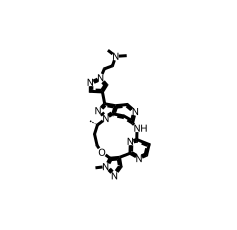 C[C@H]1CCOc2c(cnn2C)-c2nccc(n2)Nc2cc3c(cn2)c(-c2cnn(CCN(C)C)c2)nn31